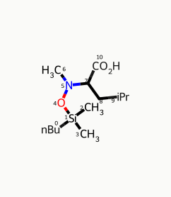 CCCC[Si](C)(C)ON(C)C(CC(C)C)C(=O)O